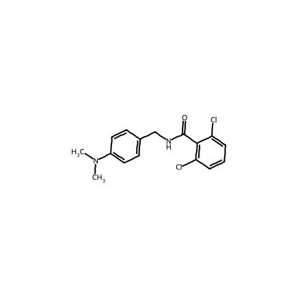 CN(C)c1ccc(CNC(=O)c2c(Cl)cccc2Cl)cc1